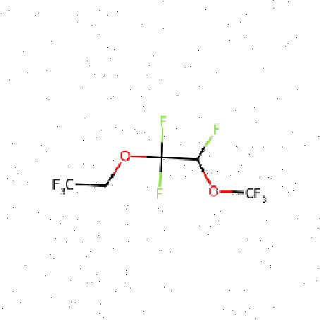 FC(OC(F)(F)F)C(F)(F)OCC(F)(F)F